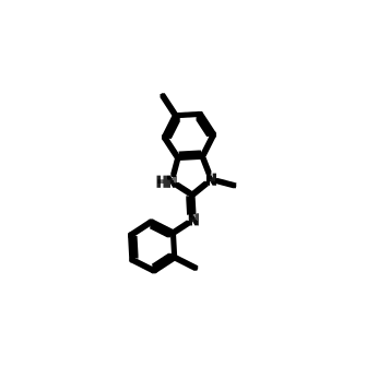 Cc1ccc2c(c1)[nH]/c(=N\c1ccccc1C)n2C